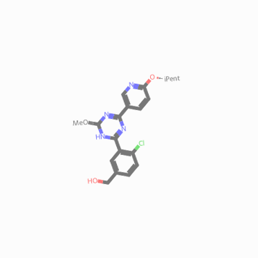 CCC[C@@H](C)Oc1ccc(C2=NC(OC)NC(c3cc(CO)ccc3Cl)=N2)cn1